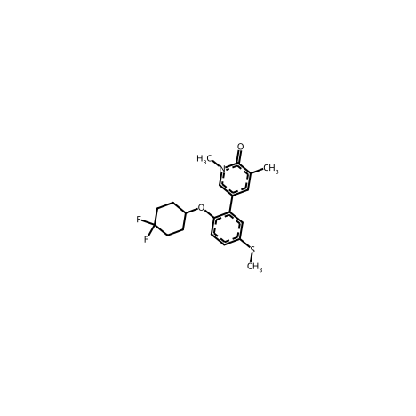 CSc1ccc(OC2CCC(F)(F)CC2)c(-c2cc(C)c(=O)n(C)c2)c1